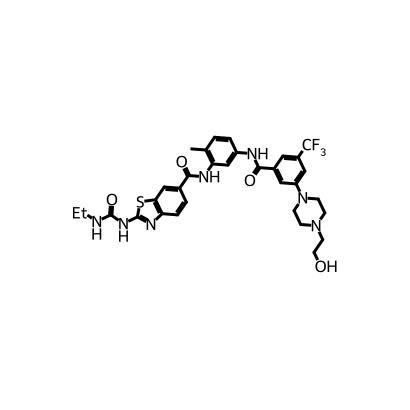 CCNC(=O)Nc1nc2ccc(C(=O)Nc3cc(NC(=O)c4cc(N5CCN(CCO)CC5)cc(C(F)(F)F)c4)ccc3C)cc2s1